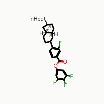 CCCCCCC[C@H]1CC[C@@H]2CC(c3ccc(C(=O)Oc4cc(F)c(F)c(F)c4)cc3F)CC[C@H]2C1